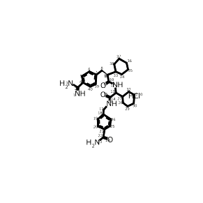 Cl.N=C(N)c1ccc(C[C@H](C(=O)NC(C(=O)NCc2ccc(C(N)=O)cc2)C2CCCCC2)C2CCCCC2)cc1